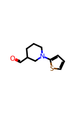 O=CC1CCCN(c2cccs2)C1